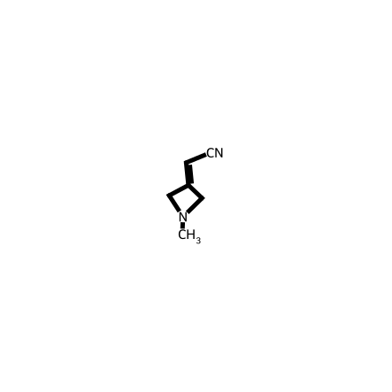 CN1CC(=CC#N)C1